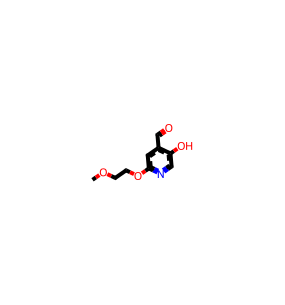 COCCOc1cc(C=O)c(O)cn1